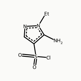 CCn1ncc(S(=O)(=O)Cl)c1N